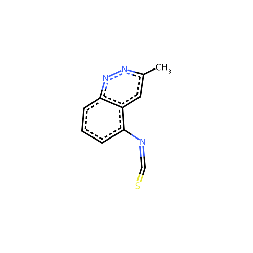 Cc1cc2c(N=C=S)cccc2nn1